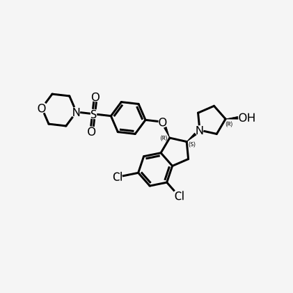 O=S(=O)(c1ccc(O[C@@H]2c3cc(Cl)cc(Cl)c3C[C@@H]2N2CC[C@@H](O)C2)cc1)N1CCOCC1